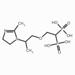 CC1=NCCN1C(C)COCC(P(=O)(O)O)P(=O)(O)O